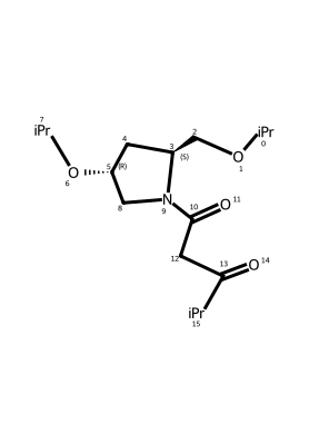 CC(C)OC[C@@H]1C[C@@H](OC(C)C)CN1C(=O)CC(=O)C(C)C